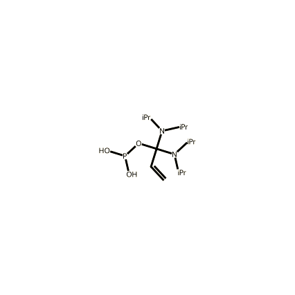 C=CC(OP(O)O)(N(C(C)C)C(C)C)N(C(C)C)C(C)C